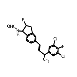 O=CNC1c2ccc(/C=C/C(c3cc(Cl)c(F)c(Cl)c3)C(F)(F)F)cc2CC1F